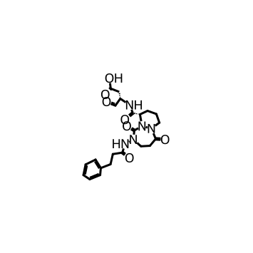 O=C[C@H](CC(=O)O)NC(=O)[C@@H]1CCCN2C(=O)CCN(NC(=O)CCc3ccccc3)C(=O)N12